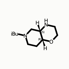 CCC(C)N1CC[C@H]2OCCN[C@H]2C1